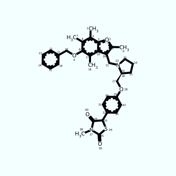 Cc1oc2c(C)c(C)c(OCc3ccccc3)c(C)c2c1CN1CCC[C@H]1COc1ccc(C2SC(=O)N(C)C2=O)cc1